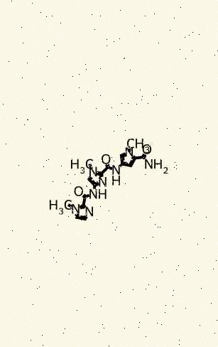 Cn1cc(NC(=O)c2nc(NC(=O)c3nccn3C)cn2C)cc1C(N)=O